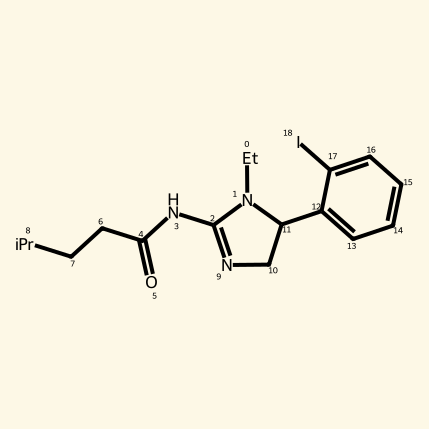 CCN1C(NC(=O)CCC(C)C)=NCC1c1ccccc1I